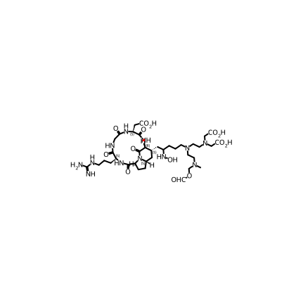 CN(CCN(CCCC(C[C@@H]1C[C@@H]2CC[C@H]3C(=O)N[C@@H](CCCNC(=N)N)C(=O)NCC(=O)N[C@@H](CC(=O)O)C(=O)N[C@H]1C(=O)N23)NO)CCN(CC(=O)O)CC(=O)O)COC=O